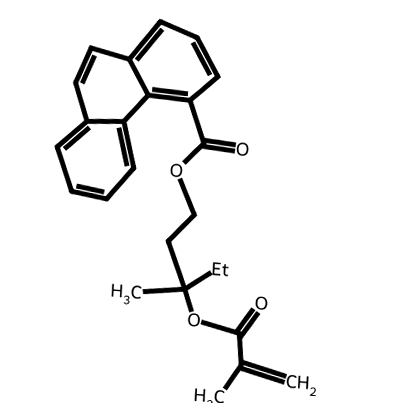 C=C(C)C(=O)OC(C)(CC)CCOC(=O)c1cccc2ccc3ccccc3c12